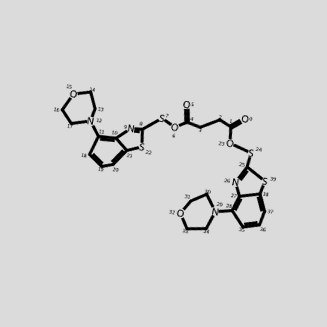 O=C(CCC(=O)OSc1nc2c(N3CCOCC3)cccc2s1)OSc1nc2c(N3CCOCC3)cccc2s1